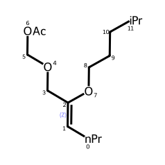 CCC/C=C(/COCOC(C)=O)OCCCC(C)C